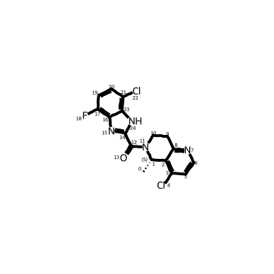 C[C@H]1c2c(Cl)ccnc2CCN1C(=O)c1nc2c(F)ccc(Cl)c2[nH]1